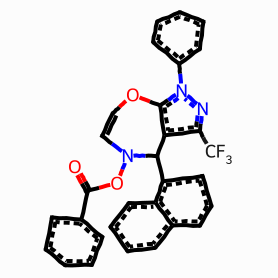 O=C(ON1C=COc2c(c(C(F)(F)F)nn2-c2ccccc2)C1c1cccc2ccccc12)c1ccccc1